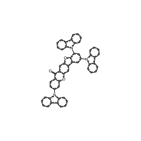 O=c1c2ccc(-n3c4ccccc4c4ccccc43)cc2oc2cc3c(cc12)oc1c(-n2c4ccccc4c4ccccc42)cc(-n2c4ccccc4c4ccccc42)cc13